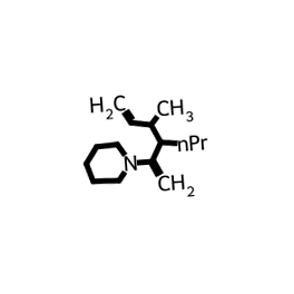 C=CC(C)C(CCC)C(=C)N1CCCCC1